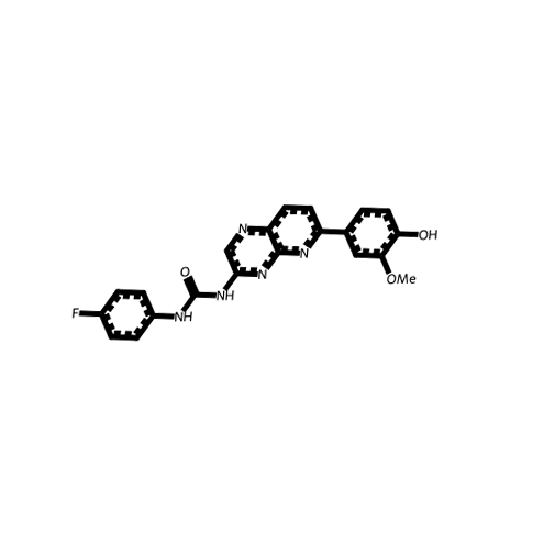 COc1cc(-c2ccc3ncc(NC(=O)Nc4ccc(F)cc4)nc3n2)ccc1O